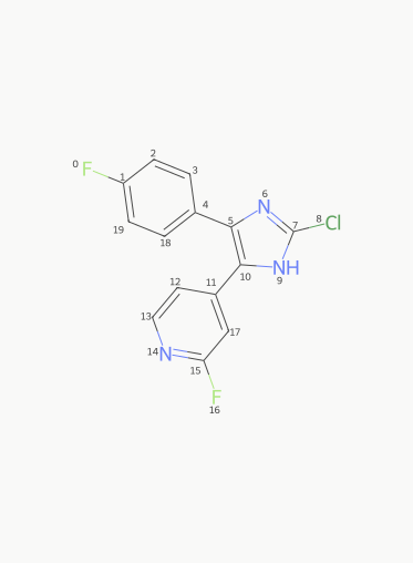 Fc1ccc(-c2nc(Cl)[nH]c2-c2ccnc(F)c2)cc1